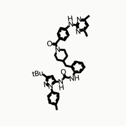 Cc1ccc(-n2nc(C(C)(C)C)cc2NC(=O)Nc2ccccc2CC2CCN(C(=O)c3ccc(Nc4nc(C)cc(C)n4)cc3)CC2)cc1